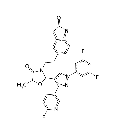 CC1OC(c2cn(-c3cc(F)cc(F)c3)nc2-c2ccc(F)nc2)N(CCc2ccc3c(c2)=CC(=O)N=3)C1=O